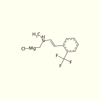 C[SiH](C=Cc1ccccc1C(F)(F)F)[CH2][Mg][Cl]